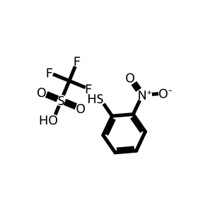 O=S(=O)(O)C(F)(F)F.O=[N+]([O-])c1ccccc1S